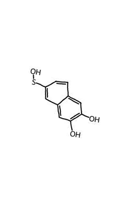 OSc1ccc2cc(O)c(O)cc2c1